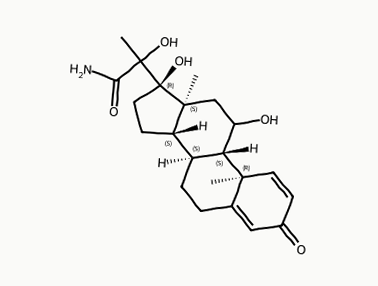 CC(O)(C(N)=O)[C@@]1(O)CC[C@H]2[C@@H]3CCC4=CC(=O)C=C[C@]4(C)[C@H]3C(O)C[C@@]21C